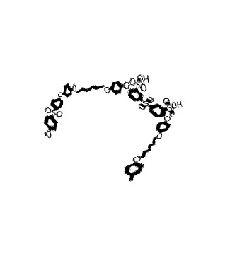 COc1ccc(S(=O)(=O)c2ccc(Oc3ccc(OCCCCCCOc4ccc(Oc5ccc(S(=O)(=O)c6ccc(Oc7ccc(OCCCCCCOc8ccc(C)cc8)cc7)c(S(=O)(=O)O)c6)cc5S(=O)(=O)O)cc4)cc3)cc2)cc1